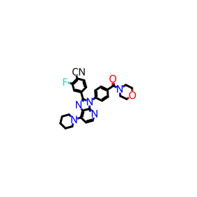 N#Cc1ccc(-c2nc3c(N4CCCCC4)ccnc3n2-c2ccc(C(=O)N3CCOCC3)cc2)cc1F